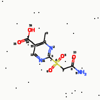 Cc1nc(S(=O)(=O)CC(N)=O)ncc1C(=O)O